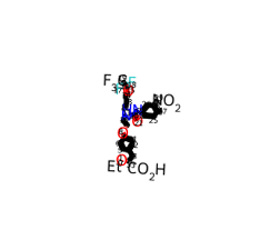 CCOC(Cc1ccc(OCCN(CCCOC(F)(F)C(F)(F)F)C(=O)Nc2ccc(C)c([N+](=O)[O-])c2)cc1)C(=O)O